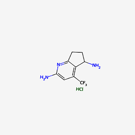 Cl.Nc1cc(C(F)(F)F)c2c(n1)CCC2N